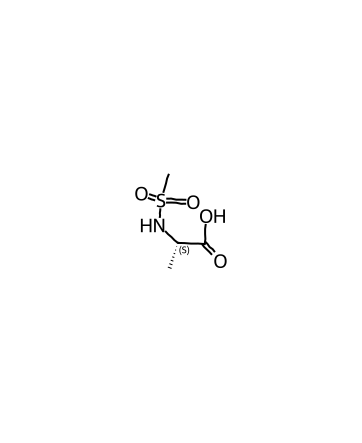 C[C@H](NS(C)(=O)=O)C(=O)O